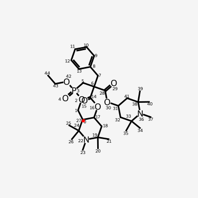 CCOP(=O)(CC(Cc1ccccc1)(C(=O)OC1CC(C)(C)N(C)C(C)(C)C1)C(=O)OC1CC(C)(C)N(C)C(C)(C)C1)OCC